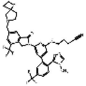 Cn1cnnc1-c1ccc(C(F)(F)F)cc1-c1cc(NCCCC#N)nc(N2Cc3c(cc(CN4CCC5(CCO5)C4)cc3C(F)(F)F)C2=O)c1